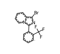 FC(F)(F)c1[c]cccc1-c1nc(Br)c2ccccn12